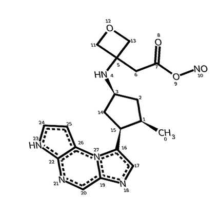 C[C@@H]1C[C@H](NC2(CC(=O)ON=O)COC2)C[C@@H]1c1cnc2cnc3[nH]ccc3n12